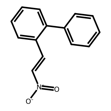 O=[N+]([O-])C=Cc1ccccc1-c1ccccc1